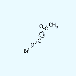 CCOC(=O)c1ccc(OCCOCCBr)cc1